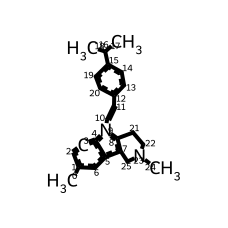 Cc1ccc2c(c1)c1c(n2/C=C/c2ccc(C(C)C)cc2)CCN(C)C1